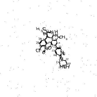 Cc1nc(NC(C)c2cccc(-c3ccc(N4CCNCC4)nc3)c2)cc(-c2ccc(Cl)c([N+](=O)[O-])c2)n1